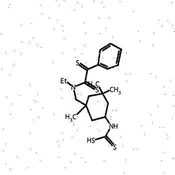 CCN(CC1(C)CC(NC(=S)S)CC(C)(C)C1)C(=S)C(=S)c1ccccc1